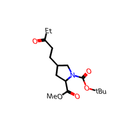 CCC(=O)CCC1CC(C(=O)OC)N(C(=O)OC(C)(C)C)C1